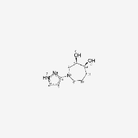 O[C@@H]1CN(c2cc[nH]n2)CCC[C@@H]1O